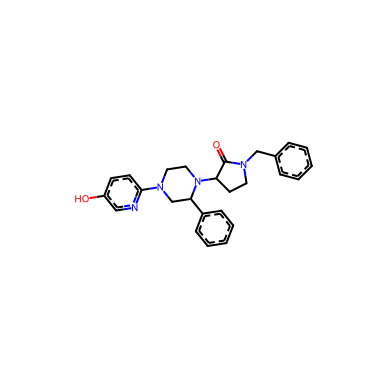 O=C1C(N2CCN(c3ccc(O)cn3)CC2c2ccccc2)CCN1Cc1ccccc1